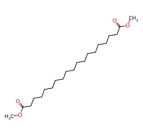 COC(=O)CCCCCCCCCCCCCCCCCC(=O)OC